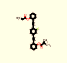 C=CC(=O)Oc1ccccc1C#Cc1ccc(C#Cc2ccccc2OC(=O)C(=C)C)cc1F